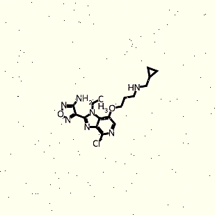 CCn1c(-c2nonc2N)nc2c(Cl)ncc(OCCCNCC3CC3)c21